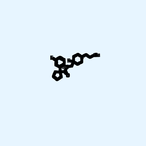 CC(C)(C)CCN1CCC(F)(CNC(=O)C2(c3cccc(F)c3)CCCC2)CC1